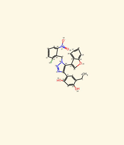 CCc1cc(-c2nnn(Cc3c(F)cccc3[N+](=O)[O-])c2-c2coc3ccccc23)c(O)cc1O